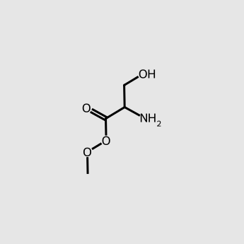 COOC(=O)C(N)CO